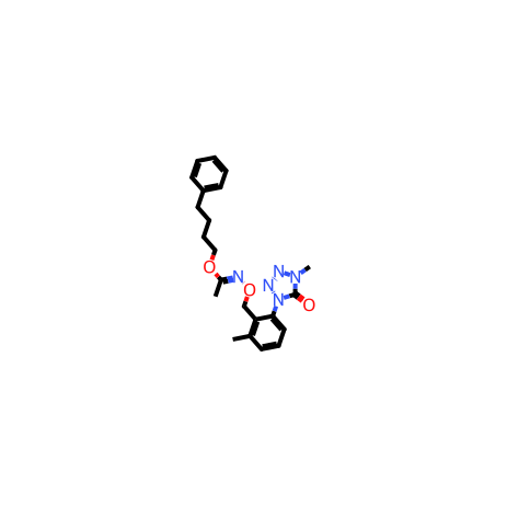 C/C(=N\OCc1c(C)cccc1-n1nnn(C)c1=O)OCCCCc1ccccc1